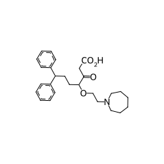 O=C(O)CC(=O)C(CCC(c1ccccc1)c1ccccc1)OCCN1CCCCCC1